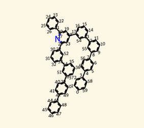 c1ccc(-c2ccc(-c3cccc(-c4cccc(-c5cc(-c6ccccc6)nc(-c6cccc(-c7cccc(-c8ccc(-c9ccccc9)cc8)c7)c6)c5)c4)c3)cc2)cc1